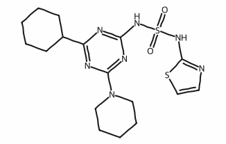 O=S(=O)(Nc1nc(C2CCCCC2)nc(N2CCCCC2)n1)Nc1nccs1